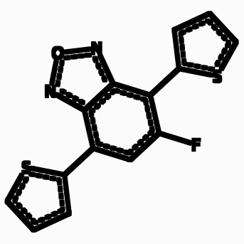 Fc1cc(-c2cccs2)c2nonc2c1-c1cccs1